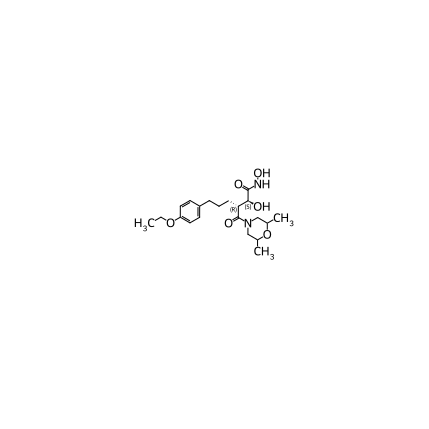 CCOc1ccc(CCC[C@@H](C(=O)N2CC(C)OC(C)C2)[C@H](O)C(=O)NO)cc1